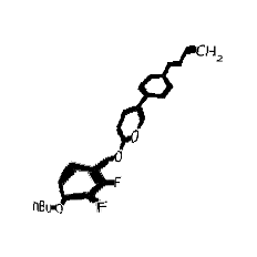 C=CCCC1CCC(C2CCC(OCc3ccc(OCCCC)c(F)c3F)OC2)CC1